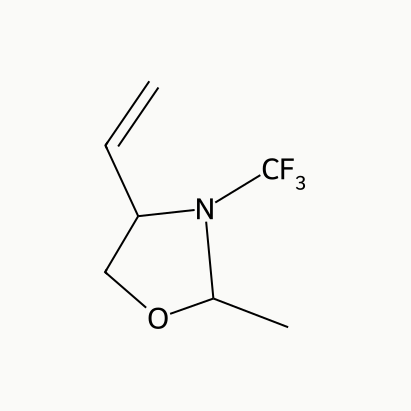 C=CC1COC(C)N1C(F)(F)F